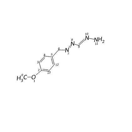 COc1ccc(CN=NC=NN)cc1